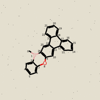 CB1c2ccccc2Oc2cc3c4ccccc4c4ccccc4c3cc21